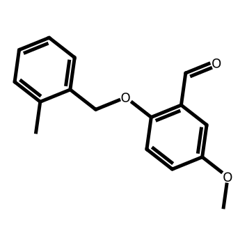 COc1ccc(OCc2ccccc2C)c(C=O)c1